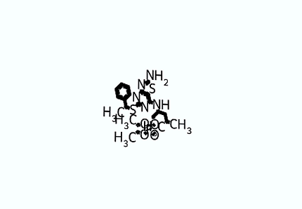 CCOP(=O)(OCC)OCC(CC(C)C)Nc1nc(SC(C)c2ccccc2)nc2nc(N)sc12